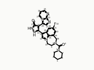 O=C(N1CCCCC1)N1CCn2cc(-c3[nH][nH]c(=O)c3-c3cnc4ncccn34)c3cc(F)cc(c32)C1